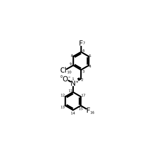 [O-][N+](=Cc1ccc(F)cc1Cl)c1cccc(F)c1